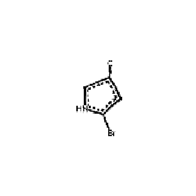 Clc1c[nH]c(Br)c1